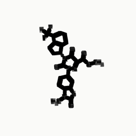 COC(=O)c1nn(-c2ccc3c(c2)sc(=O)n3C)c(=O)n([C@@H]2CCc3c2cccc3C(F)(F)F)c1=O